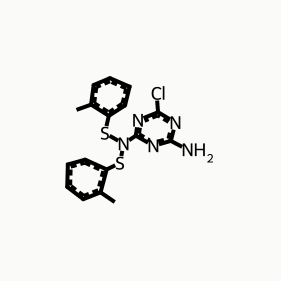 Cc1ccccc1SN(Sc1ccccc1C)c1nc(N)nc(Cl)n1